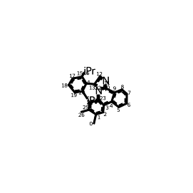 Cc1cc2c3ccccc3c3ncc(-c4c(C(C)C)cccc4C(C)C)n3c2cc1C